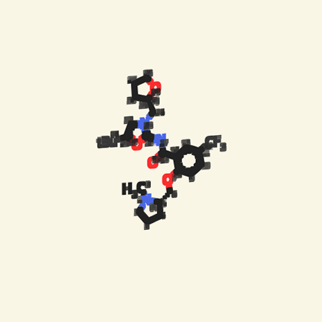 CN1CCC[C@H]1COc1ccc(C(F)(F)F)cc1C(=O)/N=c1\oc(C(C)(C)C)cn1C[C@H]1CCCO1